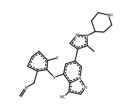 C=NCc1cccc(F)c1Sc1cc(-c2cnn(C3CCNCC3)c2C)cn2ncc(C#N)c12